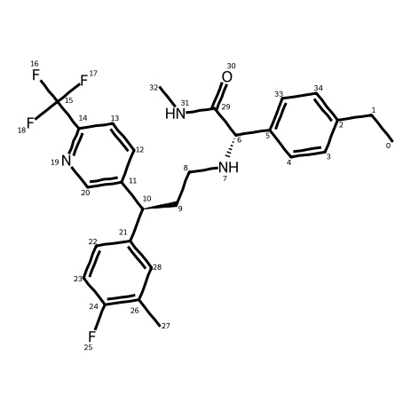 CCc1ccc([C@H](NCC[C@H](c2ccc(C(F)(F)F)nc2)c2ccc(F)c(C)c2)C(=O)NC)cc1